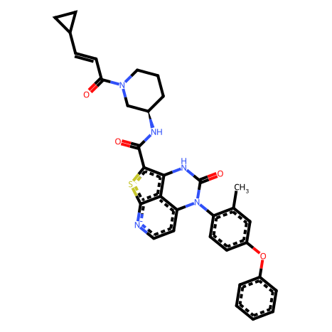 Cc1cc(Oc2ccccc2)ccc1N1C(=O)Nc2c(C(=O)N[C@@H]3CCCN(C(=O)/C=C/C4CC4)C3)sc3nccc1c23